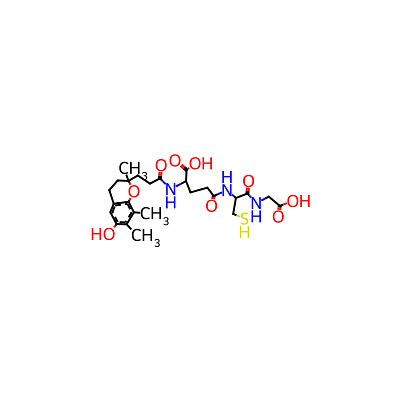 Cc1c(O)cc2c(c1C)OC(C)(CCC(=O)NC(CCC(=O)NC(CS)C(=O)NCC(=O)O)C(=O)O)CC2